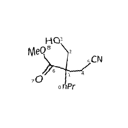 CCCC(CO)(CC#N)C(=O)OC